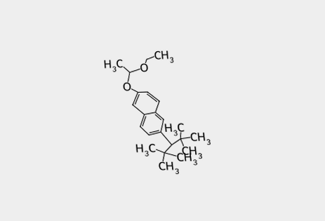 CCOC(C)Oc1ccc2cc(C(C(C)(C)C)C(C)(C)C)ccc2c1